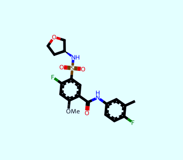 COc1cc(F)c(S(=O)(=O)N[C@H]2CCOC2)cc1C(=O)Nc1ccc(F)c(C)c1